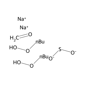 C=O.CCCCOO.CCCCOO.[Na+].[Na+].[O-]S[O-]